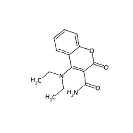 CCN(CC)c1c(C(N)=O)c(=O)oc2ccccc12